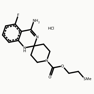 CSCCOC(=O)N1CCC2(CC1)N=C(N)c1c(F)cccc1N2.Cl